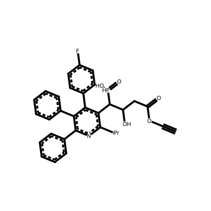 C#COC(=O)CC(O)C(c1c(C(C)C)nc(-c2ccccc2)c(-c2ccccc2)c1-c1ccc(F)cc1)[PH](=O)O